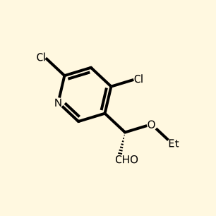 CCO[C@H](C=O)c1cnc(Cl)cc1Cl